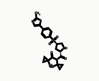 Cc1ncc(-c2ccc(S(=O)(=O)[C@H]3CN[C@H](C(=O)N(C(=O)C4(C(F)(F)F)CC4)C4(C#N)CC4)C3)cc2)s1